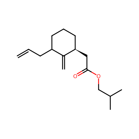 C=CCC1CCC[C@@H](CC(=O)OCC(C)C)C1=C